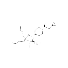 CCCCC1(CCCC)NC(=N)N(C2CCN(C(=O)CC3CC3)CC2)C1=O